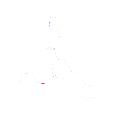 O=C(Nc1nccs1)c1cc(O[C@H]2CCOC2)cc(Sc2nnc[nH]2)c1